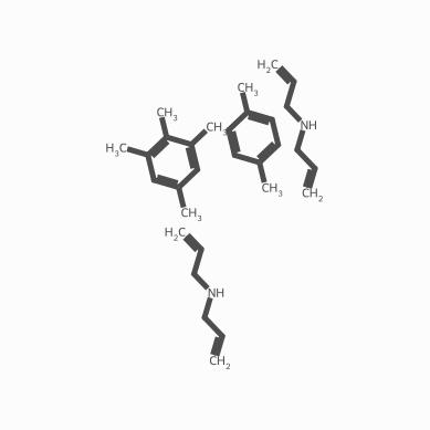 C=CCNCC=C.C=CCNCC=C.Cc1cc(C)c(C)c(C)c1.Cc1ccc(C)cc1